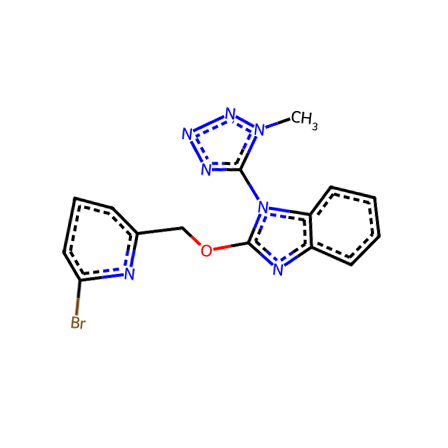 Cn1nnnc1-n1c(OCc2cccc(Br)n2)nc2ccccc21